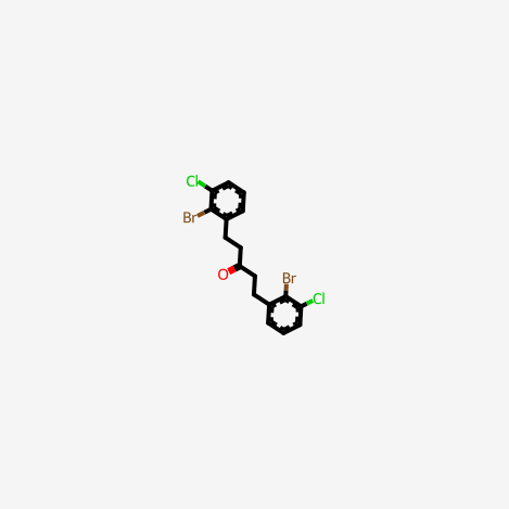 O=C(CCc1cccc(Cl)c1Br)CCc1cccc(Cl)c1Br